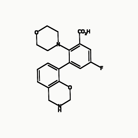 O=C(O)c1cc(F)cc(-c2cccc3c2OCNC3)c1N1CCOCC1